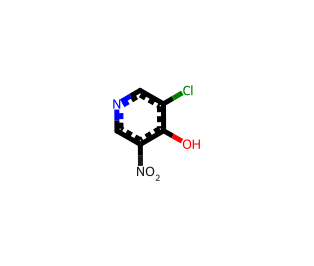 O=[N+]([O-])c1cncc(Cl)c1O